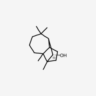 CC1(C)CCCC2(C)C3CCC2(C)[C@@H](O)C31